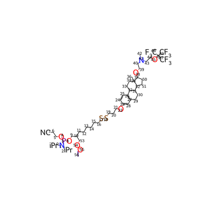 CC(C)N(C(C)C)P(OCCC#N)OCC(CCCCCCSSCCCOc1ccc2c(c1)CCC1C2CCC2(C)C(OCCN(C)CCOC(C(F)(F)F)(C(F)(F)F)C(F)(F)F)CCC12)COOI